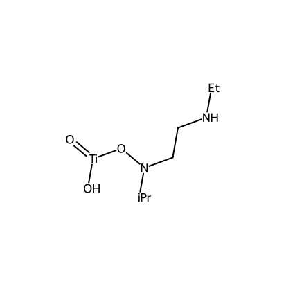 CCNCCN([O][Ti](=[O])[OH])C(C)C